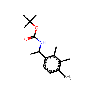 Bc1ccc(C(C)NC(=O)OC(C)(C)C)c(C)c1C